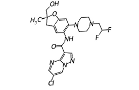 C[C@]1(CO)Cc2cc(NC(=O)c3cnn4cc(Cl)cnc34)c(N3CCN(CC(F)F)CC3)cc2O1